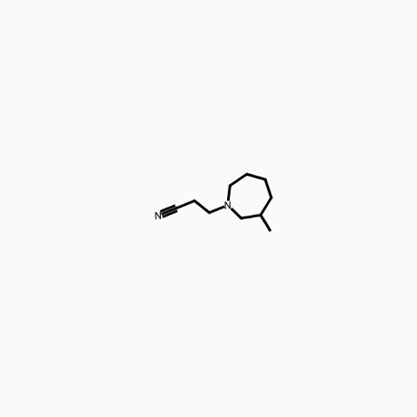 CC1CCCCN(CCC#N)C1